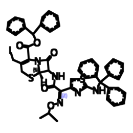 CC(C)O/N=C(\C(=O)NC1C(=O)N2C(C(=O)OC(c3ccccc3)c3ccccc3)=C(CI)CS[C@@H]12)c1csc(NC(c2ccccc2)(c2ccccc2)c2ccccc2)n1